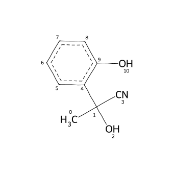 CC(O)(C#N)c1ccccc1O